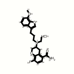 CCN(CCCc1coc2c(OC)cccc12)C1COc2c(F)ccc(C(N)=O)c2C1.Cl